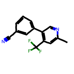 Cc1cc(C(F)(F)F)c(-c2cccc(C#N)c2)cn1